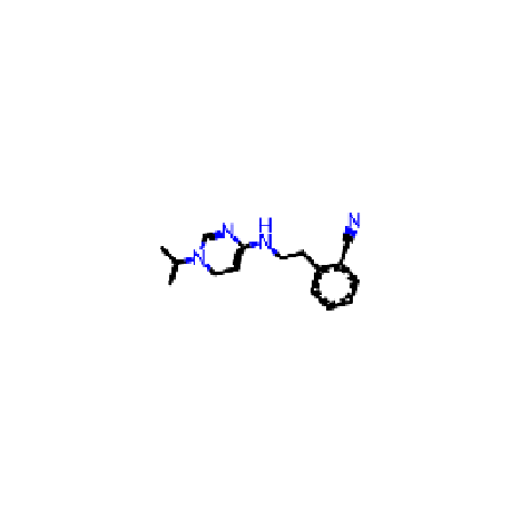 CC(C)N1C=NC(NCCc2ccccc2C#N)=CC1